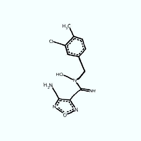 Cc1ccc(CN(O)C(=N)c2nonc2N)cc1Cl